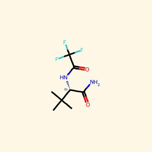 CC(C)(C)[C@H](NC(=O)C(F)(F)F)C(N)=O